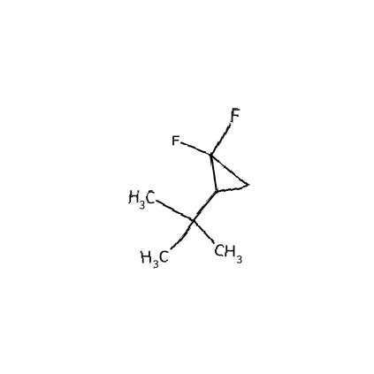 CC(C)(C)C1CC1(F)F